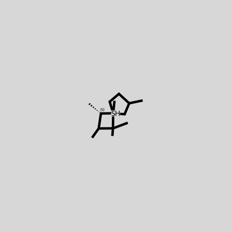 CC1CC[SH]2(C)(C1)[C@@H](C)C(C)C2(C)C